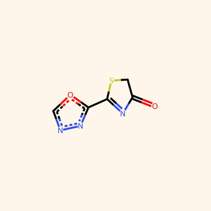 O=C1CSC(c2nnco2)=N1